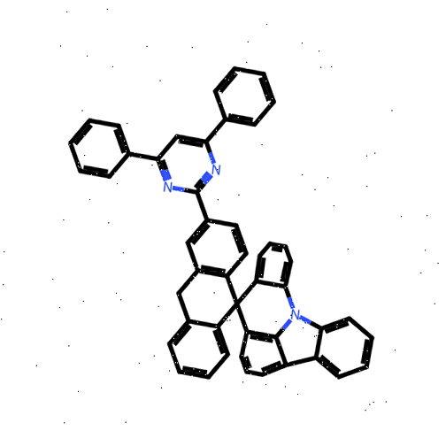 c1ccc(-c2cc(-c3ccccc3)nc(-c3ccc4c(c3)Cc3ccccc3C43c4ccccc4-n4c5ccccc5c5cccc3c54)n2)cc1